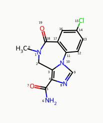 CN1Cc2c(C(N)=O)ncn2-c2ccc(Cl)cc2C1=O